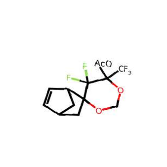 CC(=O)OC1(C(F)(F)F)OCOC2(CC3C=CC2C3)C1(F)F